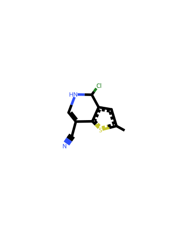 Cc1cc2c(s1)C(C#N)=CNC2Cl